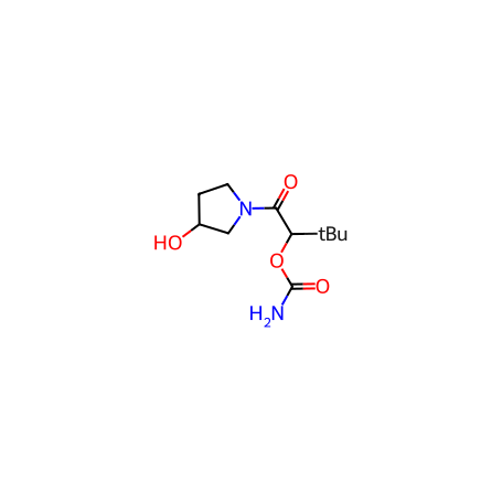 CC(C)(C)C(OC(N)=O)C(=O)N1CCC(O)C1